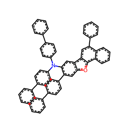 c1ccc(-c2ccc(-c3cc4oc5c6ccccc6c(-c6ccccc6)cc5c4cc3N(c3ccc(-c4ccccc4)cc3)c3ccc(-c4ccccc4)cc3)cc2)cc1